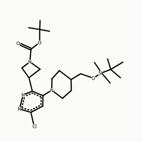 CC(C)(C)OC(=O)N1CC(c2nnc(Cl)cc2N2CCC(CO[Si](C)(C)C(C)(C)C)CC2)C1